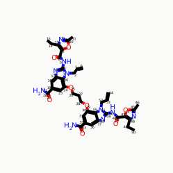 C=CCn1c(NC(=O)c2oc(C)nc2CC)nc2cc(C(N)=O)cc(OCCCOc3cc(C(N)=O)cc4nc(NC(=O)c5oc(C)nc5CC)n(CC=C)c34)c21